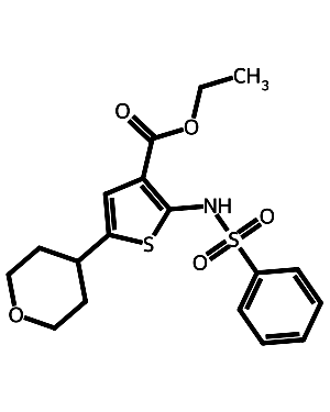 CCOC(=O)c1cc(C2CCOCC2)sc1NS(=O)(=O)c1ccccc1